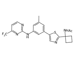 CC(=O)NC1(c2ncc(-c3cc(C)cc(Nc4nccc(C(F)(F)F)n4)c3)s2)CCC1